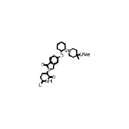 COC1(C)CCN([C@H]2CCCC[C@H]2Oc2ccc3c(c2)CN(C2CCC(=O)NC2=O)C3=O)CC1